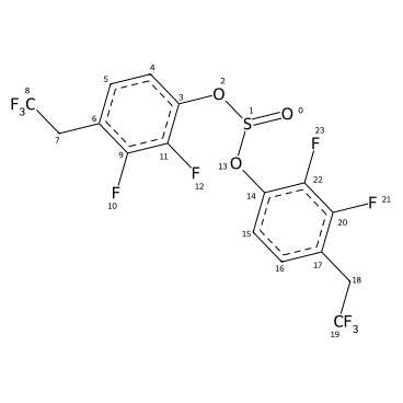 O=S(Oc1ccc(CC(F)(F)F)c(F)c1F)Oc1ccc(CC(F)(F)F)c(F)c1F